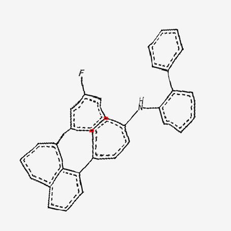 Fc1cccc(-c2cccc3cccc(-c4ccc(Nc5ccccc5-c5ccccc5)cc4)c23)c1